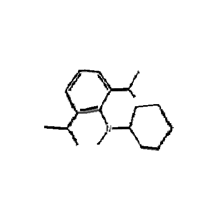 CC(C)c1cccc(C(C)C)c1N(C)C1CCCCC1